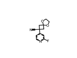 N#CC1(c2ccnc(F)c2)CC2(C1)OCCO2